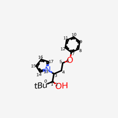 CC(C)(C)C(O)C(CCOc1ccccc1)n1cccc1